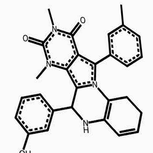 Cc1cccc(-c2c3c(=O)n(C)c(=O)n(C)c3c3n2C2=C(C=CCC2)NC3c2cccc(O)c2)c1